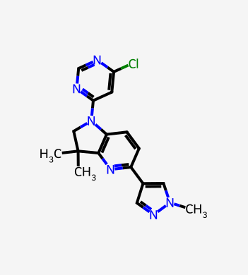 Cn1cc(-c2ccc3c(n2)C(C)(C)CN3c2cc(Cl)ncn2)cn1